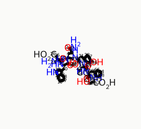 NC(=O)CC[C@H](NC(=O)[C@H](Cc1c[nH]c2ccccc12)NC(=O)[C@@H](N)CC(=O)O)C(=O)N[C@@H](Cc1ccc(O)cc1)C(=O)N[C@@H](CC(=O)O)C(=O)N[C@@H](Cc1ccccc1)C(=O)N[C@@H](CO)C(=O)O